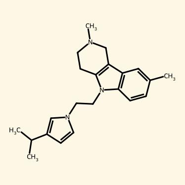 Cc1ccc2c(c1)c1c(n2CCn2ccc(C(C)C)c2)CCN(C)C1